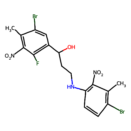 Cc1c(Br)ccc(NCCC(O)c2cc(Br)c(C)c([N+](=O)[O-])c2F)c1[N+](=O)[O-]